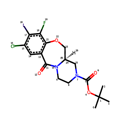 CC(C)(C)OC(=O)N1CCN2C(=O)c3cc(Cl)c(I)c(F)c3OC[C@H]2C1